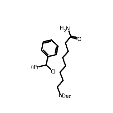 CCCC(Cl)c1ccccc1.CCCCCCCCCCCCCCCCCC(N)=O